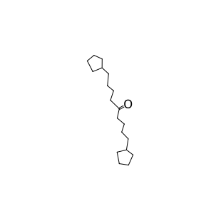 O=C(CCCCC1CCCC1)CCCCC1CCCC1